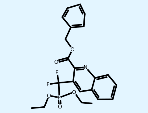 CCOP(=O)(OCC)C(F)(F)c1cc2ccccc2nc1C(=O)OCc1ccccc1